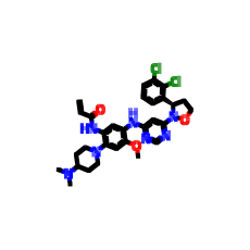 C=CC(=O)Nc1cc(Nc2cc(N3OCC[C@@H]3c3cccc(Cl)c3Cl)ncn2)c(OC)cc1N1CCC(N(C)C)CC1